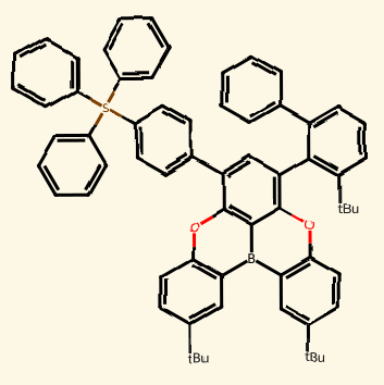 CC(C)(C)c1ccc2c(c1)B1c3cc(C(C)(C)C)ccc3Oc3c(-c4c(-c5ccccc5)cccc4C(C)(C)C)cc(-c4ccc(S(c5ccccc5)(c5ccccc5)c5ccccc5)cc4)c(c31)O2